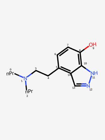 CCCN(CCC)CCc1ccc(O)c2[nH]ncc12